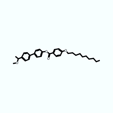 CCCCCCCCCCOc1ccc(C(=O)Oc2ccc(-c3ccc(C(C)OC)cc3)cc2)cc1